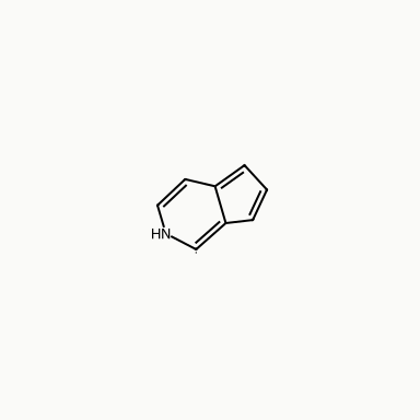 [c]1[nH]ccc2cccc1-2